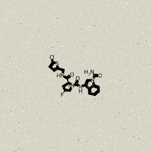 NC(=O)n1cc(NC(=O)N2C[C@H](F)C[C@H]2C(=O)NCc2ccc(Cl)s2)c2ccccc21